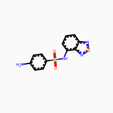 Nc1ccc(S(=O)(=O)Nc2cccc3nsnc23)cc1